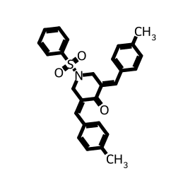 Cc1ccc(/C=C2/CN(S(=O)(=O)c3ccccc3)C/C(=C\c3ccc(C)cc3)C2=O)cc1